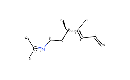 C=C/C=C(\C)[C@H](C)CCN=C(C)C